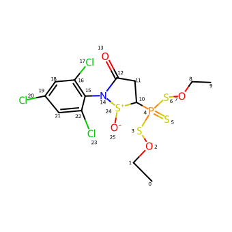 CCOSP(=S)(SOCC)C1CC(=O)N(c2c(Cl)cc(Cl)cc2Cl)[S+]1[O-]